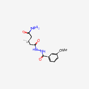 COc1cccc(C(=O)NNC(=O)[CH][C@H](C)CC(N)=O)c1